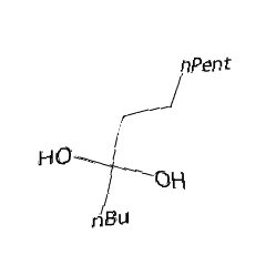 CCCCCCCC(O)(O)CCCC